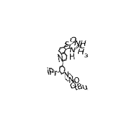 CC(C)c1cc(-c2ccc3c(ccc4sc5c(c43)NC[C@@H](C)NC5=O)n2)cc(N2CCN(C(=O)OC(C)(C)C)CC2)c1